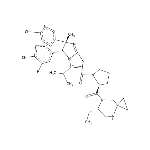 CC[C@H]1CNC2(CC2)CN1C(=O)[C@@H]1CCCN1C(=O)C1=C(C(C)C)N2C(=N[C@@](C)(c3ccc(Cl)nc3)[C@H]2c2ccc(Cl)c(F)c2)S1